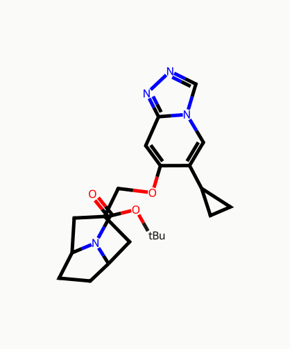 CC(C)(C)OC(=O)N1C2CCC1CC(COc1cc3nncn3cc1C1CC1)C2